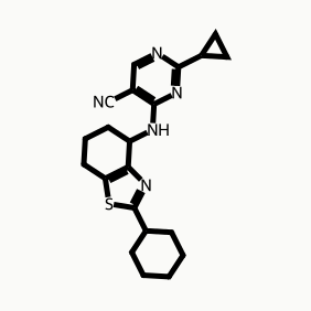 N#Cc1cnc(C2CC2)nc1NC1CCCc2sc(C3CCCCC3)nc21